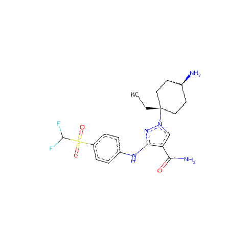 N#CC[C@]1(n2cc(C(N)=O)c(Nc3ccc(S(=O)(=O)C(F)F)cc3)n2)CC[C@H](N)CC1